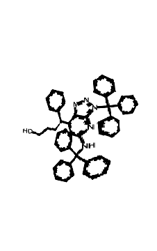 OCCC[C@@H](c1ccccc1)c1cc(NC(c2ccccc2)(c2ccccc2)c2ccccc2)nc2c1nnn2C(c1ccccc1)(c1ccccc1)c1ccccc1